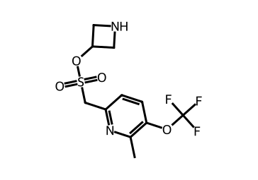 Cc1nc(CS(=O)(=O)OC2CNC2)ccc1OC(F)(F)F